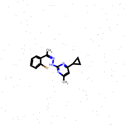 C/C(=N/Nc1nc(C)cc(C2CC2)n1)c1ccccc1Br